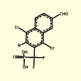 CCc1c(Br)c(C(F)(F)P(=O)(O)O)c(CC)c2cc(C=O)ccc12